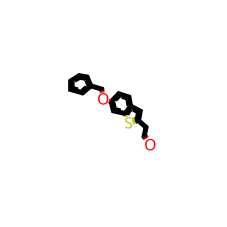 O=CCc1cc2ccc(OCc3ccccc3)cc2s1